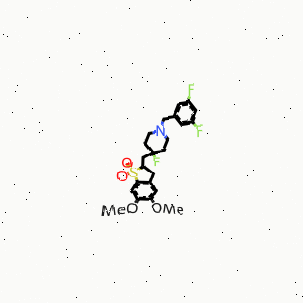 COc1cc2c(cc1OC)S(=O)(=O)C(CC1(F)CCN(Cc3cc(F)cc(F)c3)CC1)C2